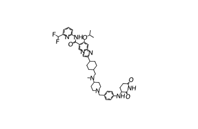 CC(C)Oc1cc2nc(C3CCC(CN(C)C4CCN(Cc5ccc(NC6CCC(=O)NC6=O)cc5)CC4)CC3)cn2cc1C(=O)Nc1cccc(C(F)F)n1